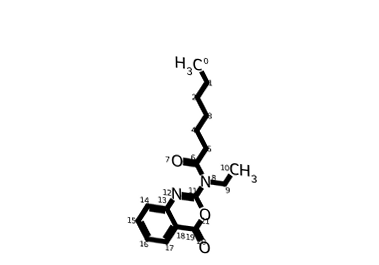 CCCCCCC(=O)N(CC)c1nc2ccccc2c(=O)o1